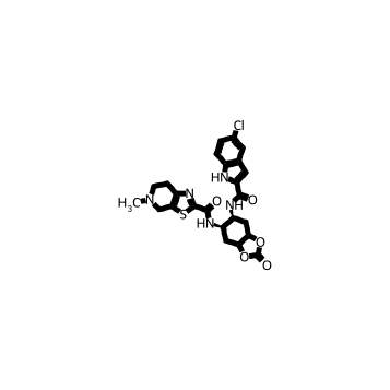 CN1CCc2nc(C(=O)N[C@@H]3CC4OC(=O)OC4C[C@@H]3NC(=O)c3cc4cc(Cl)ccc4[nH]3)sc2C1